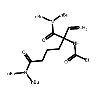 C=CC(CCCC(=O)N(CCCC)CCCC)(NC(=O)CC)C(=O)N(CCCC)CCCC